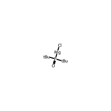 CC(C)(C)[P](=O)([Mg][Cl])C(C)(C)C